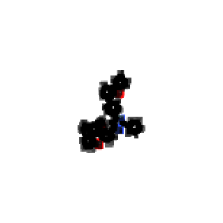 c1ccc(-c2nc(-c3ccc(-c4cccc5c4oc4ccccc45)cc3)cc(-c3ccc4c(c3)C3(c5ccccc5O4)c4ccccc4-c4ccccc43)n2)cc1